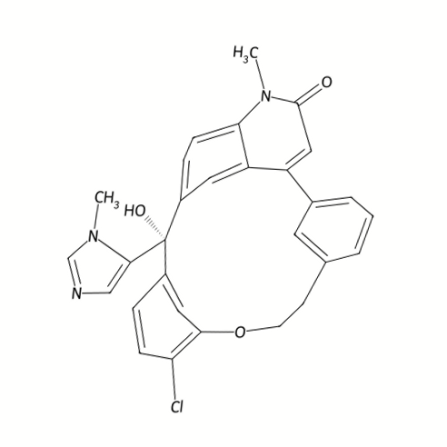 Cn1cncc1[C@]1(O)c2ccc(Cl)c(c2)OCCc2cccc(c2)-c2cc(=O)n(C)c3ccc1cc23